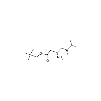 CC(C)C(=O)CC(N)CC(=O)OCC(C)(C)C